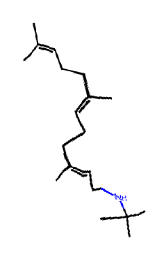 CC(C)=CCCC(C)=CCCC(C)=CCNC(C)(C)C